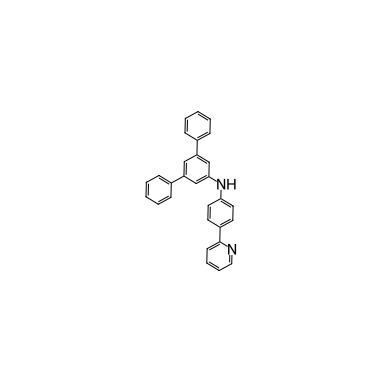 c1ccc(-c2cc(Nc3ccc(-c4ccccn4)cc3)cc(-c3ccccc3)c2)cc1